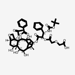 CC(=O)O[C@@]12CO[C@@H]1C[C@H](O)[C@@]1(C)[C@H](O)[C@H](O)C3[C@H](C)[C@@H](OC(=O)[C@H](OC(=O)COCC(=O)O)[C@@H](NC(=O)OC(C)(C)C)c4ccccc4)C[C@@](O)([C@@H](OC(=O)c4ccccc4)[C@H]21)C3(C)C